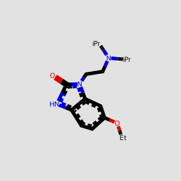 CCOc1ccc2[nH]c(=O)n(CCN(C(C)C)C(C)C)c2c1